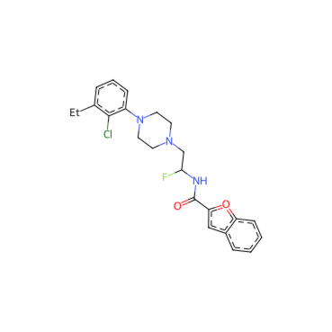 CCc1cccc(N2CCN(CC(F)NC(=O)c3cc4ccccc4o3)CC2)c1Cl